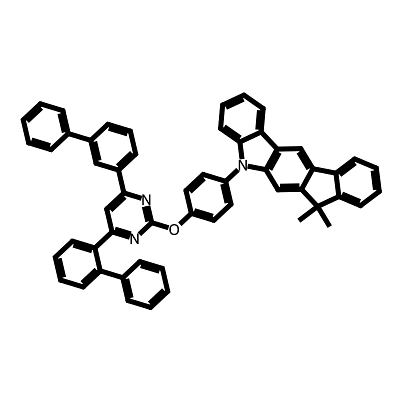 CC1(C)c2ccccc2-c2cc3c4ccccc4n(-c4ccc(Oc5nc(-c6cccc(-c7ccccc7)c6)cc(-c6ccccc6-c6ccccc6)n5)cc4)c3cc21